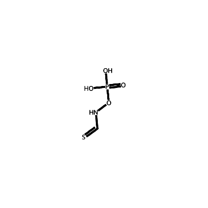 O=P(O)(O)ONC=S